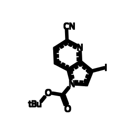 CC(C)(C)OC(=O)n1cc(I)c2nc(C#N)ccc21